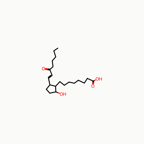 CCCCCC(=O)/C=C/C1CCC(O)C1CCCCCCCC(=O)O